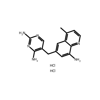 Cc1ccnc2c(N)cc(Cc3cnc(N)nc3N)cc12.Cl.Cl